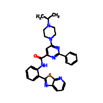 CC(C)N1CCN(c2cc(C(=O)Nc3ccccc3-c3nc4cccnc4s3)nc(-c3ccccc3)n2)CC1